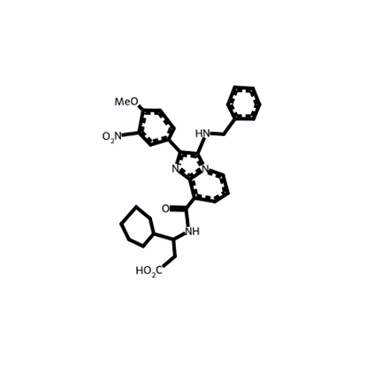 COc1ccc(-c2nc3c(C(=O)NC(CC(=O)O)C4CCCCC4)cccn3c2NCc2ccccc2)cc1[N+](=O)[O-]